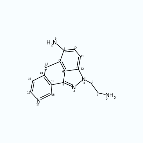 NCCn1nc2c3c(c(N)ccc31)Sc1ccncc1-2